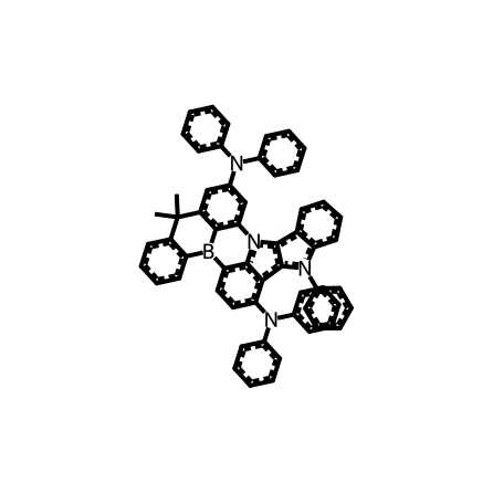 CC1(C)c2ccccc2B2c3c(cc(N(c4ccccc4)c4ccccc4)cc31)-n1c3c2ccc(N(c2ccccc2)c2ccccc2)c3c2c1c1ccccc1n2-c1ccccc1